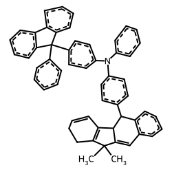 CC1(C)C2=Cc3ccccc3C(c3ccc(N(c4ccccc4)c4ccc(C5(c6ccccc6)c6ccccc6-c6ccccc65)cc4)cc3)C2C2=C1CCC=C2